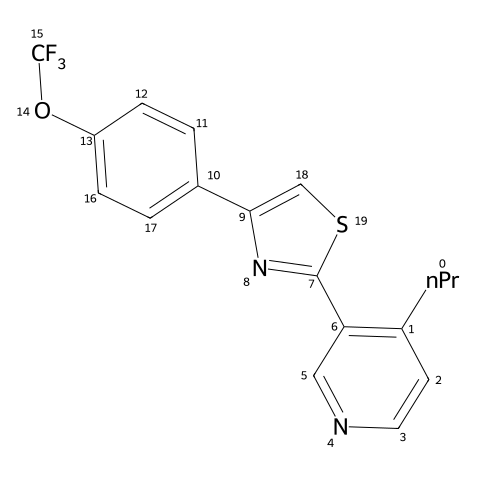 CCCc1ccncc1-c1nc(-c2ccc(OC(F)(F)F)cc2)cs1